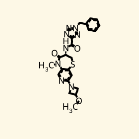 COC1CN(c2cc3c(cn2)N(C)C(=O)[C@@H](NC(=O)c2nnn(Cc4ccccc4)n2)CS3)C1